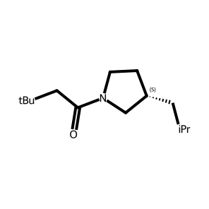 CC(C)C[C@H]1CCN(C(=O)CC(C)(C)C)C1